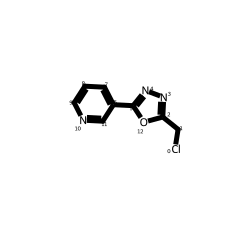 ClCc1nnc(-c2cccnc2)o1